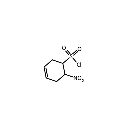 O=[N+]([O-])C1CC=CCC1S(=O)(=O)Cl